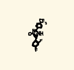 O=C1N=C(c2ccc(C(F)(F)F)cc2)N[C@@H]2C1C2c1ccc(F)cc1F